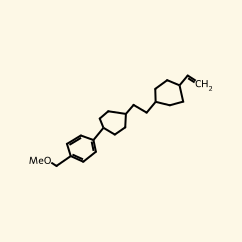 C=CC1CCC(CCC2CCC(c3ccc(COC)cc3)CC2)CC1